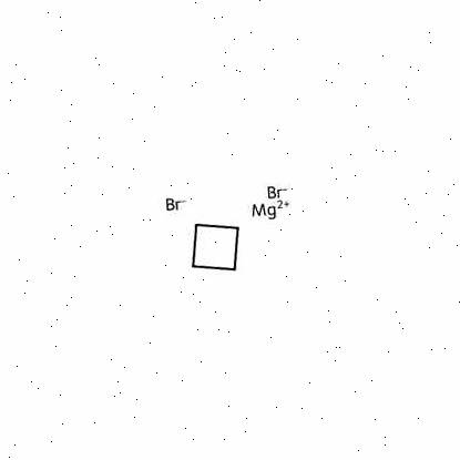 C1CCC1.[Br-].[Br-].[Mg+2]